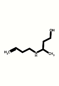 C=CCCNC(C)CCO